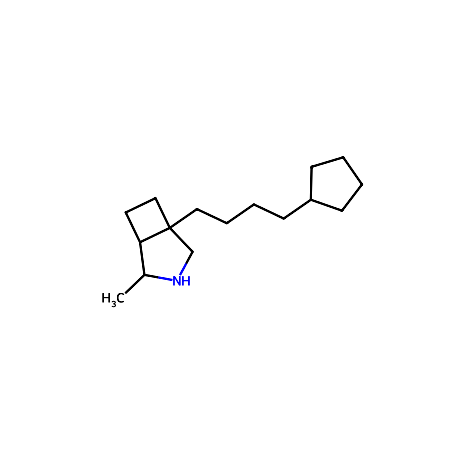 CC1NCC2(CCCCC3CCCC3)CCC12